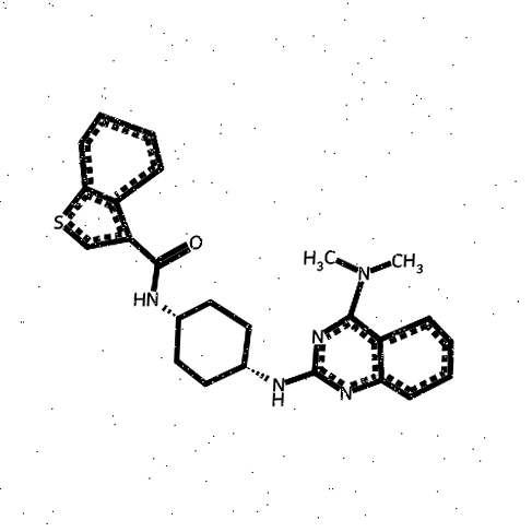 CN(C)c1nc(N[C@H]2CC[C@@H](NC(=O)c3csc4ccccc34)CC2)nc2ccccc12